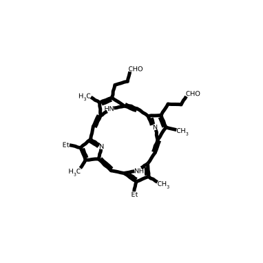 CCC1=C(C)c2cc3[nH]c(cc4nc(cc5[nH]c(cc1n2)c(C)c5CCC=O)C(CCC=O)=C4C)c(C)c3CC